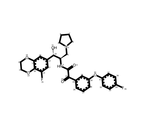 O=C(N[C@H](CN1CCCC1)[C@@H](O)c1cc(F)c2c(c1)OCCO2)C(=O)c1cccc(Oc2ccc(F)cc2)c1